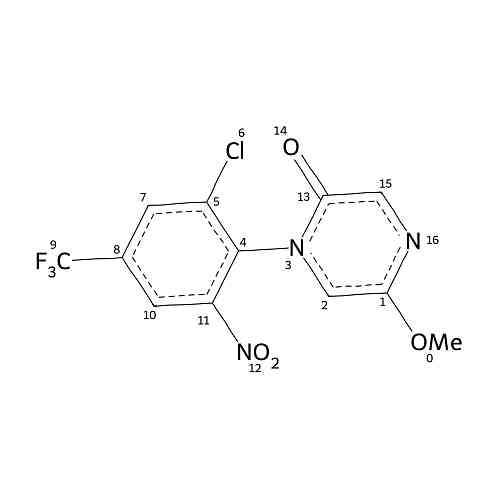 COc1cn(-c2c(Cl)cc(C(F)(F)F)cc2[N+](=O)[O-])c(=O)cn1